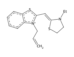 C=CC[n+]1c(C=C2SCCN2CC)sc2ccccc21